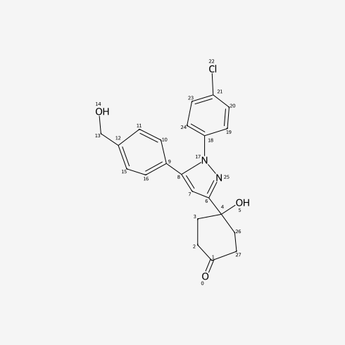 O=C1CCC(O)(c2cc(-c3ccc(CO)cc3)n(-c3ccc(Cl)cc3)n2)CC1